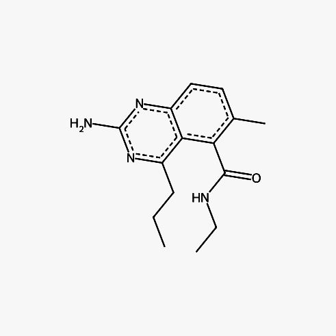 CCCc1nc(N)nc2ccc(C)c(C(=O)NCC)c12